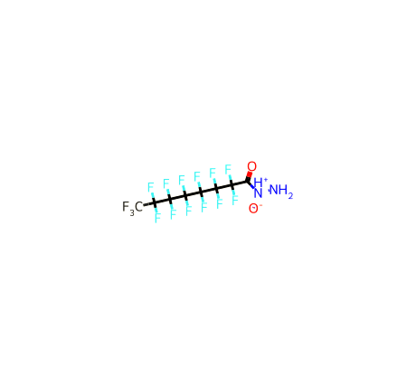 N[NH+]([O-])C(=O)C(F)(F)C(F)(F)C(F)(F)C(F)(F)C(F)(F)C(F)(F)C(F)(F)F